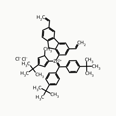 C=Cc1ccc2c(c1)-c1cc(C=C)c[c]([Zr+2]([C]3=CC(C(C)(C)C)=CC3C)=[C](c3ccc(C(C)(C)C)cc3)c3ccc(C(C)(C)C)cc3)c1C2.[Cl-].[Cl-]